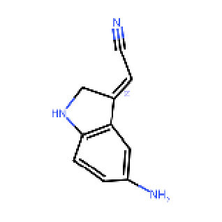 N#C/C=C1\CNc2ccc(N)cc21